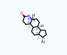 CC(=O)[C@H]1CCC2[C@@H]3CC[C@H]4NC(=O)CC[C@]4(C)C3CC[C@@]21C